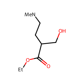 CCOC(=O)C(CO)CCNC